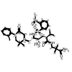 Cc1ccccc1N1CC(C)(C)N(C[C@H](NS(=O)(=O)c2ccccc2[N+](=O)[O-])[C@@H](O)C[C@H](C(=O)NCC(C)(C)C(N)=O)C(C)C)CC1=O